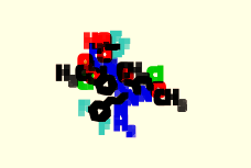 COc1nc2nc(C(N)Cc3cc(F)cc(F)c3)n(-c3ccc(Cl)c4c(NS(C)(=O)=O)nn(C)c34)c(=O)c2cc1Cl.O=C(O)C(F)(F)F